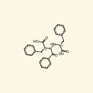 O=C(O)[C@H](Cc1ccccc1)NN(C(=O)c1ccccc1)[C@@H](Cc1ccccc1)C(=O)O